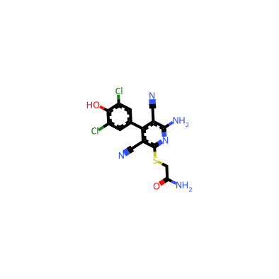 N#Cc1c(N)nc(SCC(N)=O)c(C#N)c1-c1cc(Cl)c(O)c(Cl)c1